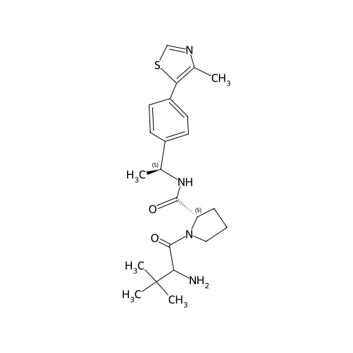 Cc1ncsc1-c1ccc([C@H](C)NC(=O)[C@@H]2CCCN2C(=O)C(N)C(C)(C)C)cc1